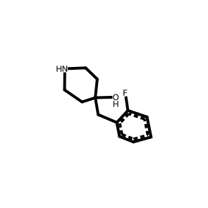 OC1(Cc2ccccc2F)CCNCC1